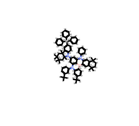 CC(C)(C)c1cccc(N2c3cc(C(C)(C)C)ccc3B3c4cc5c(cc4N(c4ccccc4)c4cc(N6c7ccc([Si](c8ccccc8)(c8ccccc8)c8ccccc8)cc7C7(C)CC(C)(C)C(C)(C)CC67C)cc2c43)C(C)(C)CCC5(C)C)c1